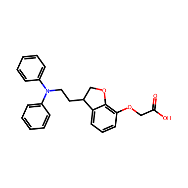 O=C(O)COc1cccc2c1OCC2CCN(c1ccccc1)c1ccccc1